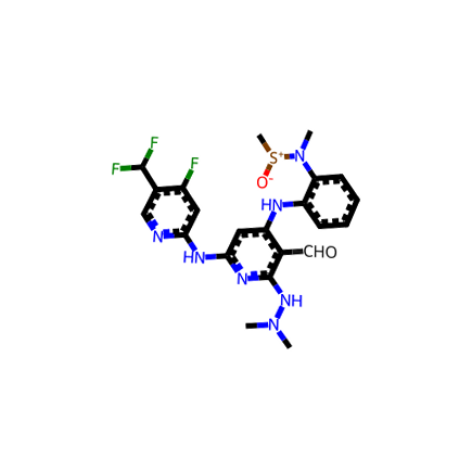 CN(C)Nc1nc(Nc2cc(F)c(C(F)F)cn2)cc(Nc2ccccc2N(C)[S+](C)[O-])c1C=O